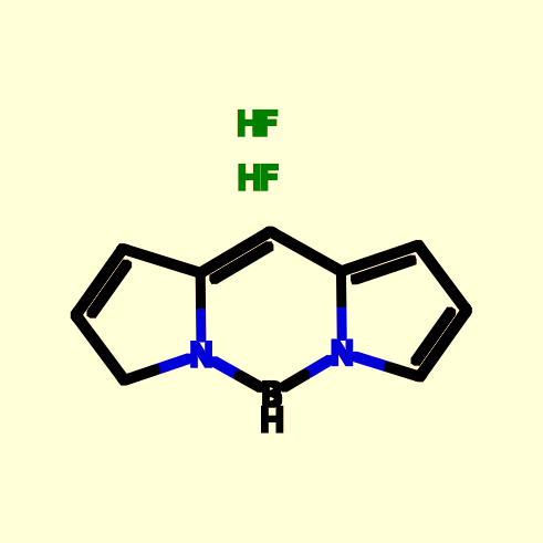 B1N2CC=CC2=Cc2cccn21.F.F